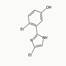 CCc1c[nH]c(-c2cc(O)ccc2CC)n1